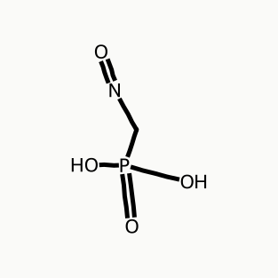 O=NCP(=O)(O)O